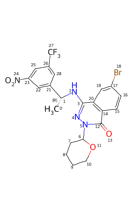 C[C@@H](Nc1nn(C2CCCCO2)c(=O)c2ccc(Br)cc12)c1cc([N+](=O)[O-])cc(C(F)(F)F)c1